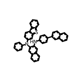 c1ccc(N(c2ccc3c(c2)sc2ccccc23)c2cc3ccccc3cc2Nc2ccc(-c3ccc4ccccc4c3)cc2)cc1